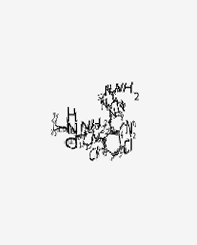 CN(C)Cc1c(Cl)cc(Cl)c(N2CCC(N)(C(=O)NC3CC3)C2)c1Cn1cnc2c(N)ncnc21